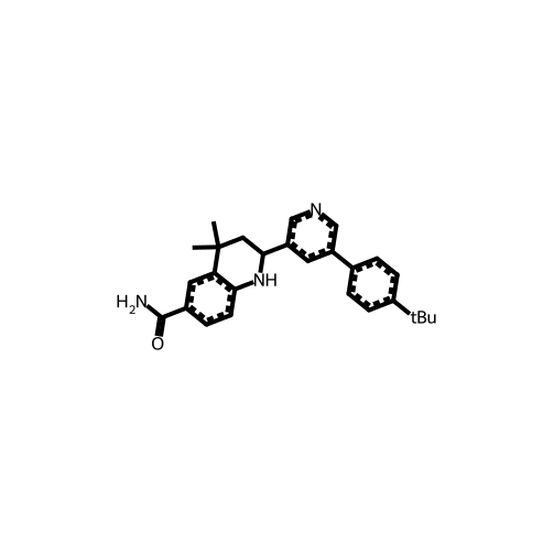 CC(C)(C)c1ccc(-c2cncc(C3CC(C)(C)c4cc(C(N)=O)ccc4N3)c2)cc1